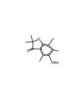 COc1c(C)c(C)c2c(c1C)C(=O)C(C)(C)O2